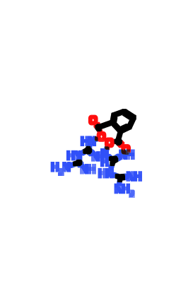 N=C(N)NC(=N)NOC(=O)c1ccccc1C(=O)ONC(=N)NC(=N)N